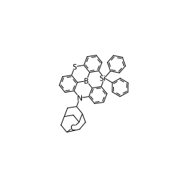 c1ccc([Si]2(c3ccccc3)c3cccc4c3B3c5c(cccc5N(C5CC6CC7CCC5C(C7)C6)c5cccc2c53)S4)cc1